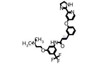 CN(C)CCOc1cc(NC(=O)/C=C/c2cccc(Oc3ccnc(C4=NCCN4)c3)c2)cc(C(F)(F)F)c1